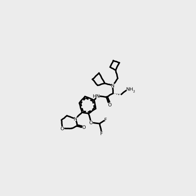 NC[C@H](C(=O)Nc1ccc(N2CCOCC2=O)c(OC(F)F)c1)N(CC1CCC1)C1CCC1